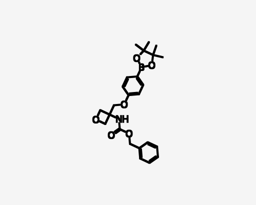 CC1(C)OB(c2ccc(OCC3(NC(=O)OCc4ccccc4)COC3)cc2)OC1(C)C